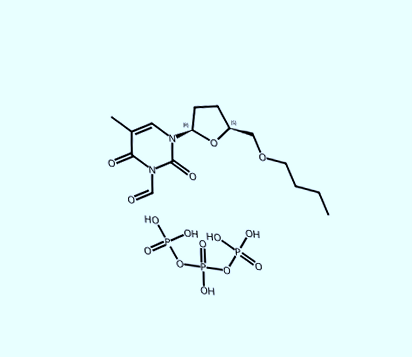 CCCCOC[C@@H]1CC[C@H](n2cc(C)c(=O)n(C=O)c2=O)O1.O=P(O)(O)OP(=O)(O)OP(=O)(O)O